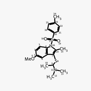 COc1ccc2c(c1)c(SC(C)N(C)C)c(C)n2S(=O)(=O)c1ccc(C)cc1